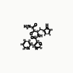 NC(=O)C(=O)C(Cc1ccc[nH]1)NC(=O)c1ocnc1-c1ccccn1